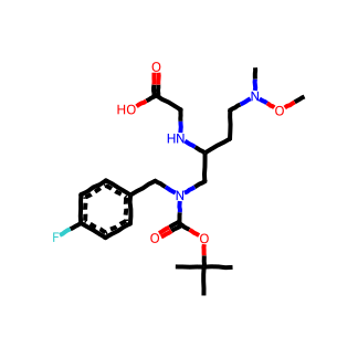 CON(C)CCC(CN(Cc1ccc(F)cc1)C(=O)OC(C)(C)C)NCC(=O)O